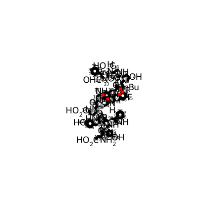 CCCC[C@@H](C(=O)N1C[C@H](O)C[C@@H]1C(=O)N[C@@H](CC(=O)O)C(=O)N[C@H](C(=O)N(C)C(C=O)Cc1ccccc1)C(C)C)N(C)C(=O)[C@H](Cc1ccccc1)N(C)C(=O)[C@H](Cc1cc(F)c(F)c(F)c1)NC(=O)CSC[C@H](NC(=O)[C@H](CCC(=O)O)NC(=O)[C@H](Cc1ccc(O)cc1)NC(=O)[C@H](Cc1c[nH]c2ccccc12)NC(=O)[C@H]1C[C@@H](O)CN1C(=O)[C@@H](N)CC(=O)O)C(=O)NCC(N)=O